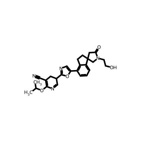 CC(C)OC1=C(C#N)CC(c2ncc(-c3cccc4c3CCC43CC(=O)N(CCO)C3)o2)C=N1